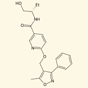 CC[C@@H](CO)NC(=O)c1ccc(OCc2c(-c3ccccc3)noc2C)nc1